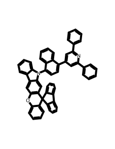 c1ccc(-c2cc(-c3ccc(-n4c5ccccc5c5cc6c(cc54)C4(c5ccccc5O6)c5ccccc5-c5ccccc54)c4ccccc34)cc(-c3ccccc3)n2)cc1